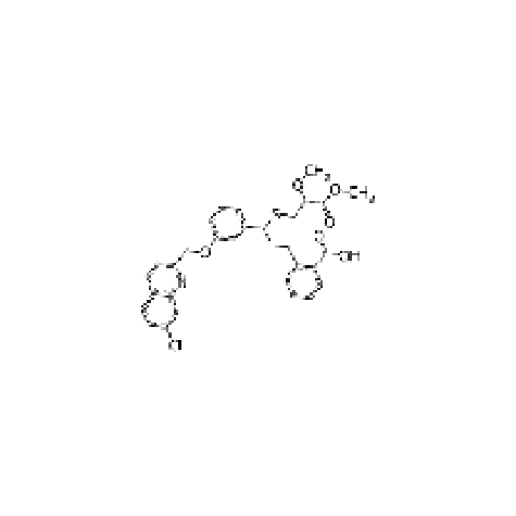 COC(=O)C(CSC(CCc1ccccc1C(=O)O)c1cccc(OCc2ccc3ccc(Cl)cc3n2)c1)OC